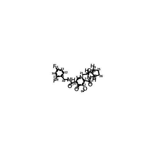 COc1c2n(cc(C(=O)NCc3ccc(F)cc3F)c1=O)C[C@H]1O[C@@H]3CC[C@@H](C3)N1C2=O